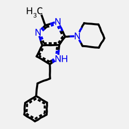 Cc1nc(N2CCCCC2)c2[nH]c(CCc3ccccc3)cc2n1